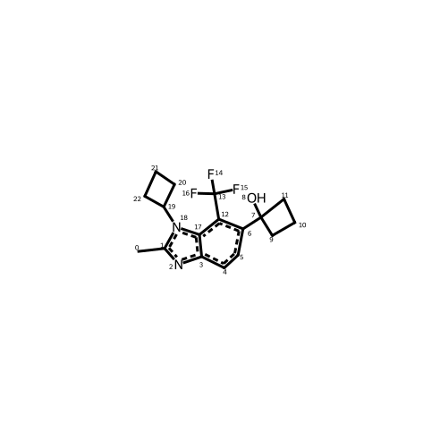 Cc1nc2ccc(C3(O)CCC3)c(C(F)(F)F)c2n1C1CCC1